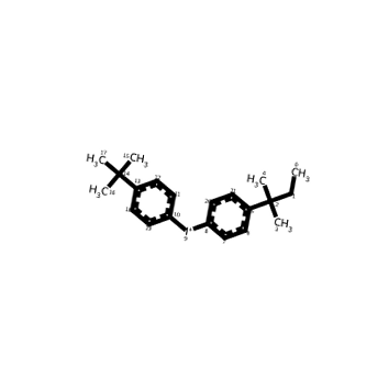 CCC(C)(C)c1ccc([I+]c2ccc(C(C)(C)C)cc2)cc1